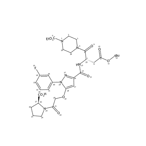 CCOC(=O)N1CCN(C(=O)[C@H](CC(=O)OC(C)(C)C)NC(=O)c2cc(OCC(=O)N3CCC[C@H]3C(=O)O)n(-c3cccc(F)c3)n2)CC1